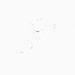 C=CCS(=O)(=O)c1nccc(Cl)n1